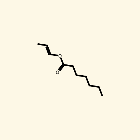 CC=COC(=O)CCCCCC